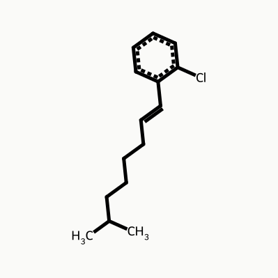 CC(C)CCCCC=Cc1ccccc1Cl